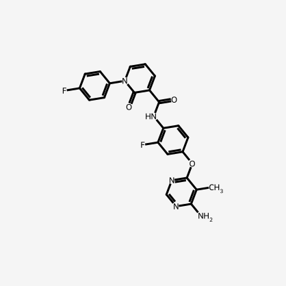 Cc1c(N)ncnc1Oc1ccc(NC(=O)c2cccn(-c3ccc(F)cc3)c2=O)c(F)c1